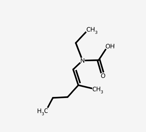 CCCC(C)=CN(CC)C(=O)O